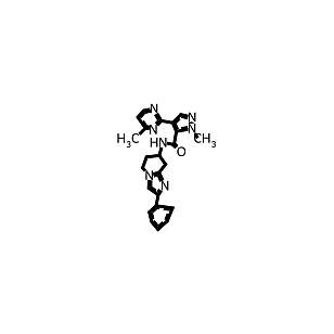 Cc1ccnc(-c2cnn(C)c2C(=O)NC2CCn3cc(-c4ccccc4)nc3C2)n1